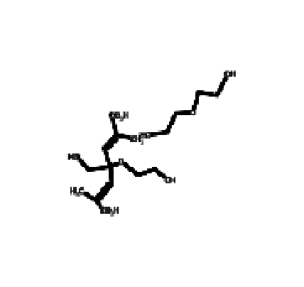 CC(=CC(C=C(C)C(=O)O)(CO)OCCO)C(=O)O.OCCOCCO